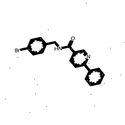 O=C(NCc1ccc(Br)cc1)c1ccc(-c2ccccc2)nc1